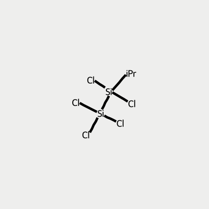 CC(C)[Si](Cl)(Cl)[Si](Cl)(Cl)Cl